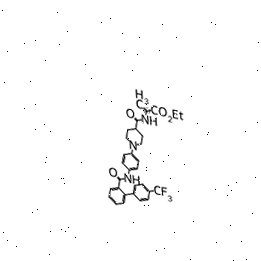 CCOC(=O)[C@H](C)NC(=O)C1CCN(c2ccc(NC(=O)c3ccccc3-c3ccc(C(F)(F)F)cc3)cc2)CC1